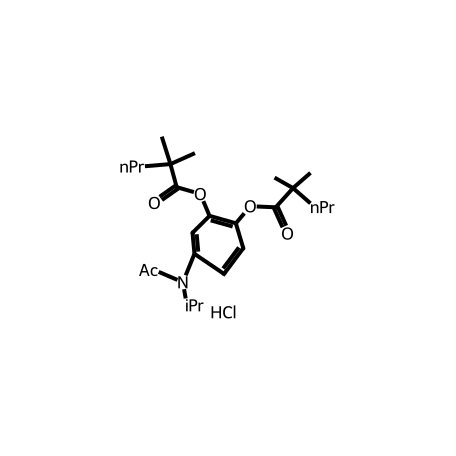 CCCC(C)(C)C(=O)Oc1ccc(N(C(C)=O)C(C)C)cc1OC(=O)C(C)(C)CCC.Cl